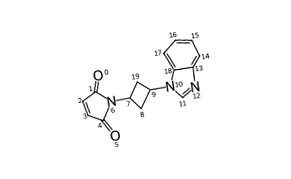 O=C1C=CC(=O)N1C1CC(n2cnc3ccccc32)C1